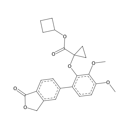 COc1ccc(-c2ccc3c(c2)COC3=O)c(OC2(C(=O)OC3CCC3)CC2)c1OC